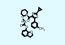 Cc1cccc(-c2sc(C3CC3)nc2C(=O)N2CCCC[C@H]2CNC(=O)Oc2cccc3c2OCC3)c1